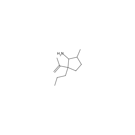 C=C(C)C1(CCC)CCC(C)C1N